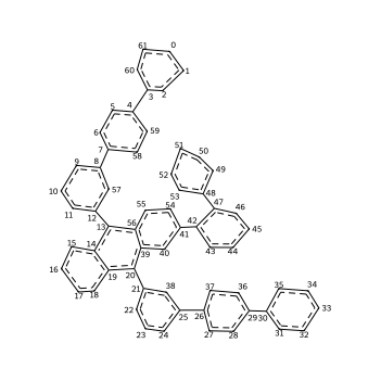 c1ccc(-c2ccc(-c3cccc(-c4c5ccccc5c(-c5cccc(-c6ccc(-c7ccccc7)cc6)c5)c5cc(-c6ccccc6-c6ccccc6)ccc45)c3)cc2)cc1